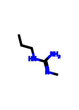 CCCN/C(N)=N/C